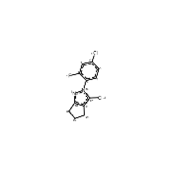 Fc1cc(Cl)ccc1-n1nc2c(c1Cl)CCC2